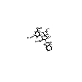 CNC1=C(c2nc3ccccc3[nH]2)C(=O)C2(CC(O)C2)N1c1cc(OC)cc(OC)c1